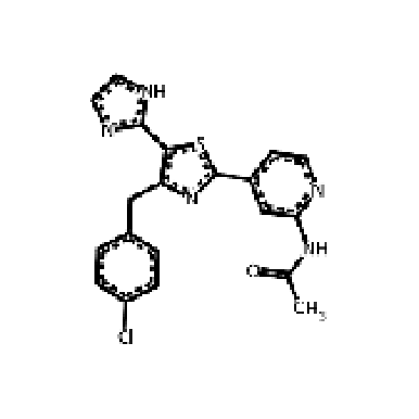 CC(=O)Nc1cc(-c2nc(Cc3ccc(Cl)cc3)c(-c3ncc[nH]3)s2)ccn1